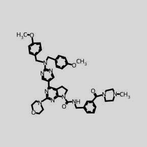 COc1ccc(CN(Cc2ccc(OC)cc2)c2ncc(-c3nc(N4CCOCC4)nc4c3CCN4C(=O)NCc3cccc(C(=O)N4CCN(C)CC4)c3)cn2)cc1